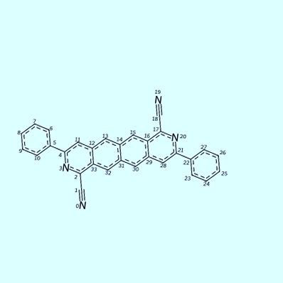 N#Cc1nc(-c2ccccc2)cc2cc3cc4c(C#N)nc(-c5ccccc5)cc4cc3cc12